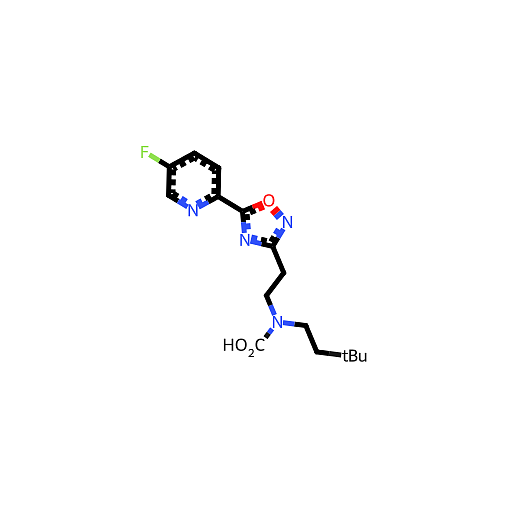 CC(C)(C)CCN(CCc1noc(-c2ccc(F)cn2)n1)C(=O)O